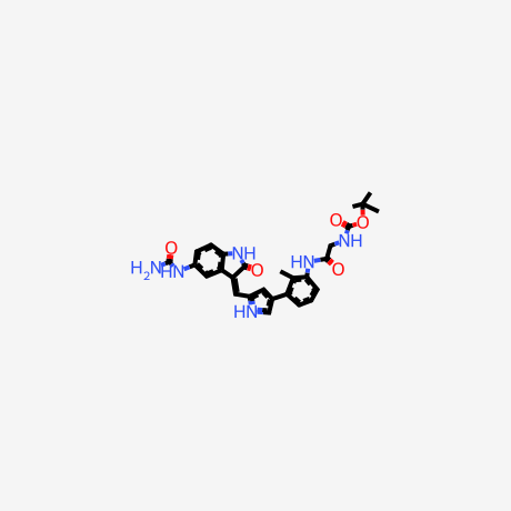 Cc1c(NC(=O)CNC(=O)OC(C)(C)C)cccc1-c1c[nH]c(C=C2C(=O)Nc3ccc(NC(N)=O)cc32)c1